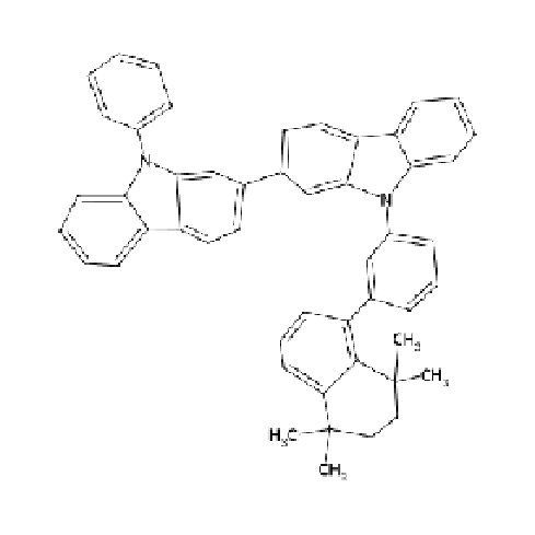 CC1(C)CCC(C)(C)c2c(-c3cccc(-n4c5ccccc5c5ccc(-c6ccc7c8ccccc8n(-c8ccccc8)c7c6)cc54)c3)cccc21